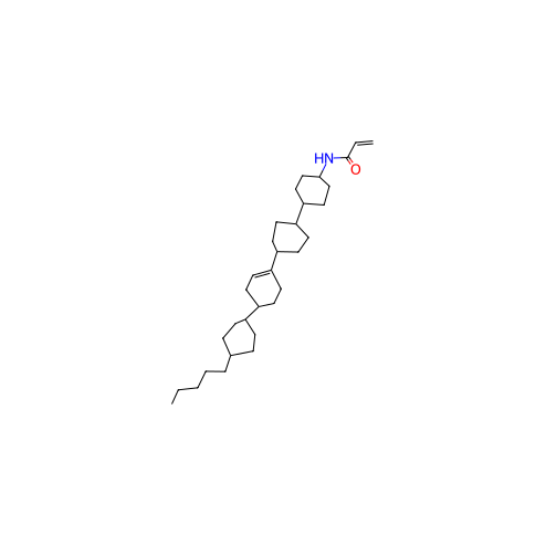 C=CC(=O)NC1CCC(C2CCC(C3=CCC(C4CCC(CCCCC)CC4)CC3)CC2)CC1